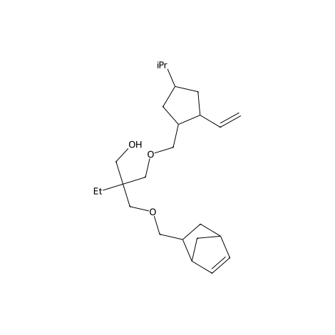 C=CC1CC(C(C)C)CC1COCC(CC)(CO)COCC1CC2C=CC1C2